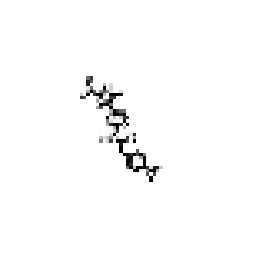 Cc1nc(C(F)F)sc1-c1csc(NC(=O)Cc2ccc(N(C)C)cc2)n1